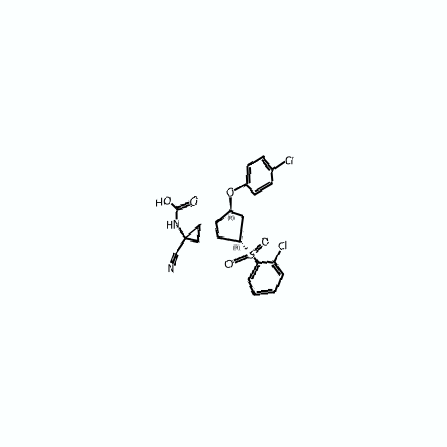 N#CC1(NC(=O)O)CC1.O=S(=O)(c1ccccc1Cl)[C@@H]1CC[C@@H](Oc2ccc(Cl)cc2)C1